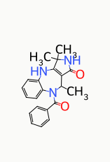 CC1C2=C(Nc3ccccc3N1C(=O)c1ccccc1)C(C)(C)NC2=O